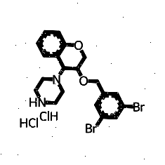 Brc1cc(Br)cc(COC2COc3ccccc3C2N2CCNCC2)c1.Cl.Cl